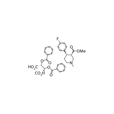 COC(=O)[C@H]1CN(C)CC[C@H]1c1ccc(F)cc1.O=C(O[C@@H](C(=O)O)[C@@H](OC(=O)c1ccccc1)C(=O)O)c1ccccc1